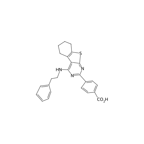 O=C(O)c1ccc(-c2nc(NCCc3ccccc3)c3c4c(sc3n2)CCCC4)cc1